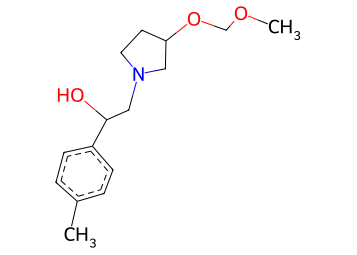 COCOC1CCN(CC(O)c2ccc(C)cc2)C1